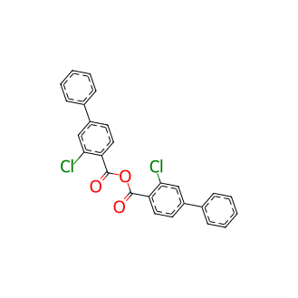 O=C(OC(=O)c1ccc(-c2ccccc2)cc1Cl)c1ccc(-c2ccccc2)cc1Cl